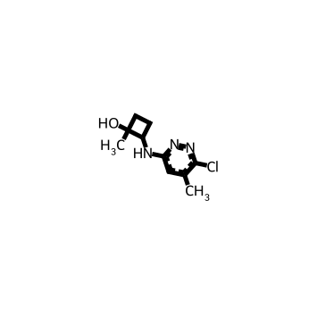 Cc1cc(NC2CCC2(C)O)nnc1Cl